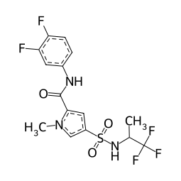 CC(NS(=O)(=O)c1cc(C(=O)Nc2ccc(F)c(F)c2)n(C)c1)C(F)(F)F